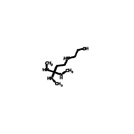 CNC(CCNCCO)(NC)NC